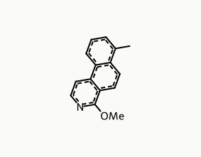 COc1nccc2c1ccc1c(C)cccc12